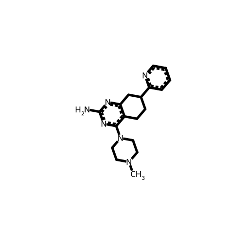 CN1CCN(c2nc(N)nc3c2CCC(c2ccccn2)C3)CC1